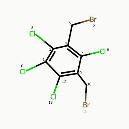 Clc1c(Cl)c(CBr)c(Cl)c(CBr)c1Cl